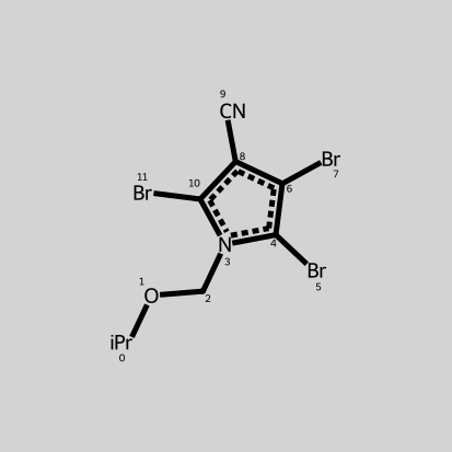 CC(C)OCn1c(Br)c(Br)c(C#N)c1Br